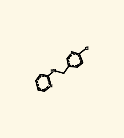 Clc1ccc(CNc2ccccn2)cn1